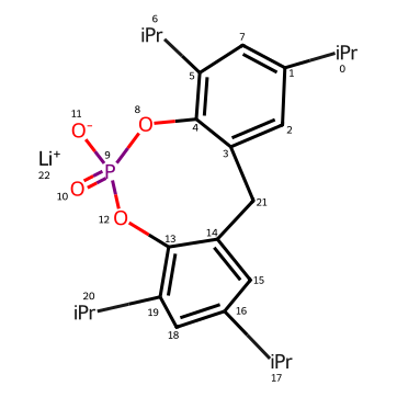 CC(C)c1cc2c(c(C(C)C)c1)OP(=O)([O-])Oc1c(cc(C(C)C)cc1C(C)C)C2.[Li+]